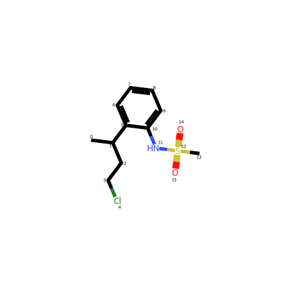 CC(CCCl)c1ccccc1NS(C)(=O)=O